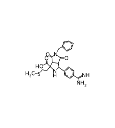 CSCCC1(C(=O)O)NC(c2ccc(C(=N)N)cc2)C2C(=O)N(Cc3ccccc3)C(=O)C21